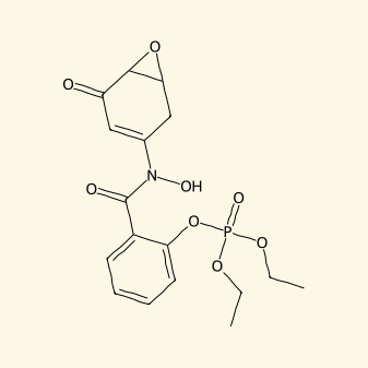 CCOP(=O)(OCC)Oc1ccccc1C(=O)N(O)C1=CC(=O)C2OC2C1